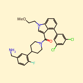 COCCn1cc(C(=O)N2CCC(c3cc(CN)ccc3F)CC2)c2c(-c3cc(Cl)cc(Cl)c3)cccc21